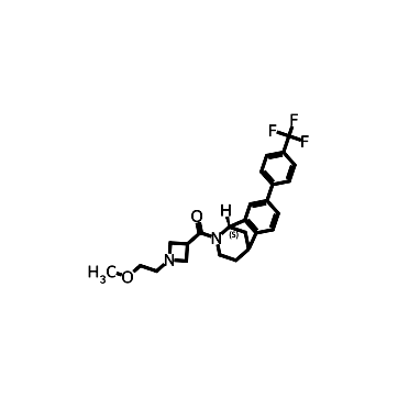 COCCN1CC(C(=O)N2CCC3C[C@H]2c2cc(-c4ccc(C(F)(F)F)cc4)ccc23)C1